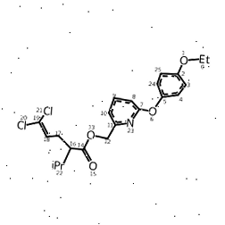 CCOc1ccc(Oc2cccc(COC(=O)C(CC=C(Cl)Cl)C(C)C)n2)cc1